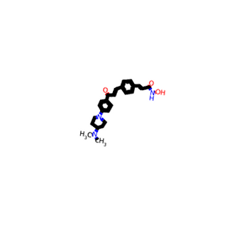 CN(C)C1CCN(c2ccc(C(=O)C=Cc3ccc(C=CC(=O)NO)cc3)cc2)CC1